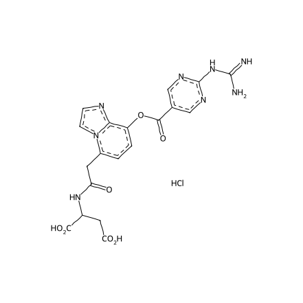 Cl.N=C(N)Nc1ncc(C(=O)Oc2ccc(CC(=O)NC(CC(=O)O)C(=O)O)n3ccnc23)cn1